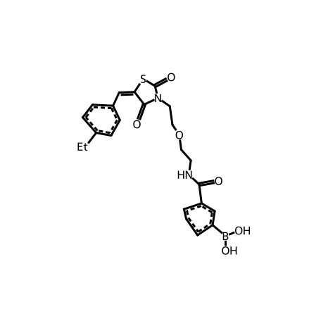 CCc1ccc(C=C2SC(=O)N(CCOCCNC(=O)c3cccc(B(O)O)c3)C2=O)cc1